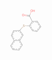 O=C(O)c1ccccc1Sc1ccc2ccccc2c1